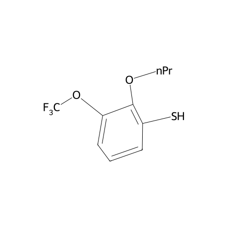 CCCOc1c(S)cccc1OC(F)(F)F